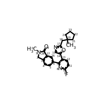 CN1Cc2ccc(-c3nc(F)ccc3-c3cnc(CC4(C)CCCC4)o3)cc2C1=O